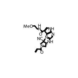 C=CC(=O)N1C[C@H](Nc2cnc3[nH]cc(C(=O)NCCOC)c3n2)[C@](C)(C#N)C1